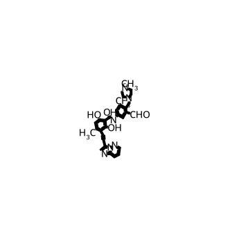 Cc1cc(O)c(C(=O)Nc2cc(C=O)c(CN3CCN(C)CC3)c(C(F)(F)F)c2)c(O)c1C#Cc1cnc2cccnn12